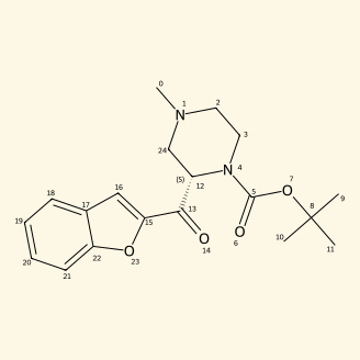 CN1CCN(C(=O)OC(C)(C)C)[C@H](C(=O)c2cc3ccccc3o2)C1